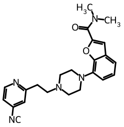 [C-]#[N+]c1ccnc(CCN2CCN(c3cccc4cc(C(=O)N(C)C)oc34)CC2)c1